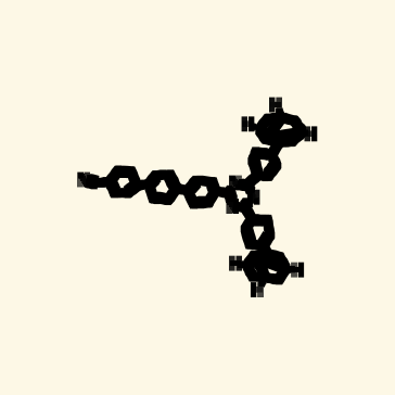 N#Cc1ccc(-c2ccc(-c3ccc(-c4nc(-c5ccc(C67C[C@H]8C[C@@H](C6)C[C@@H](C7)C8)cc5)nc(-c5ccc(C67C[C@H]8C[C@@H](C6)C[C@@H](C7)C8)cc5)n4)cc3)cc2)cc1